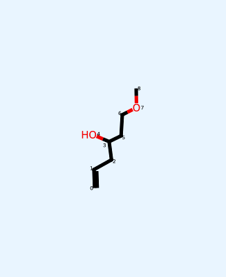 C=CCC(O)CCOC